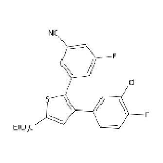 CCOC(=O)c1cc(-c2ccc(F)c(Cl)c2)c(-c2cc(F)cc(C#N)c2)s1